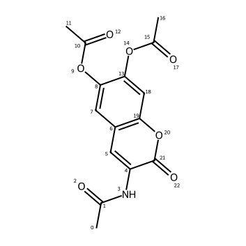 CC(=O)Nc1cc2cc(OC(C)=O)c(OC(C)=O)cc2oc1=O